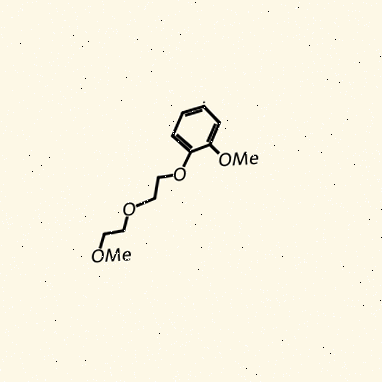 COCCOCCOc1cc[c]cc1OC